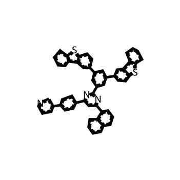 c1cncc(-c2ccc(-c3cc(-c4cccc5ccccc45)nc(-c4cc(-c5ccc6sc7ccccc7c6c5)cc(-c5ccc6sc7ccccc7c6c5)c4)n3)cc2)c1